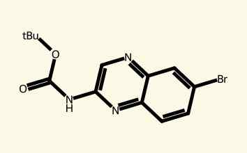 CC(C)(C)OC(=O)Nc1cnc2cc(Br)ccc2n1